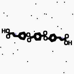 O=C(O)/C=C/c1ccc(OC(=O)c2ccc(C(=O)Oc3ccc(/C=C/C(=O)O)cc3)cc2)cc1